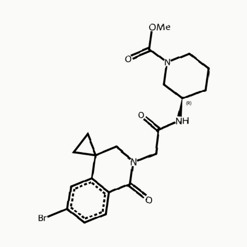 COC(=O)N1CCC[C@@H](NC(=O)CN2CC3(CC3)c3cc(Br)ccc3C2=O)C1